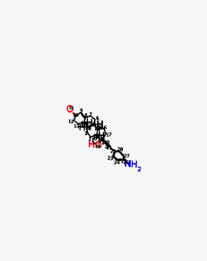 C[C@]12CC[C@@H]3[C@@H](CCC4=CC(=O)CC[C@@H]43)[C@H]1CCC2(O)C#Cc1ccc(N)cc1